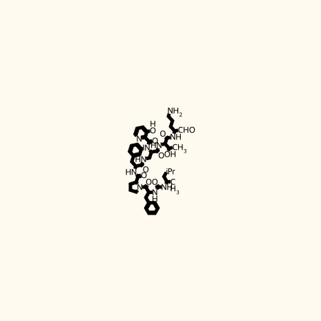 CC(C)CC(C)NC(=O)NC(Cc1ccccc1)C(=O)N1CCCC1C(=O)NC(Cc1ccccc1)C(=O)NCC(NC(=O)c1ncccc1O)C(=O)NC(C(=O)NC(C=O)CCCN)C(C)O